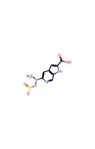 CN(O[SH](=O)=O)c1cc2cc(C(=O)O)[nH]c2cn1